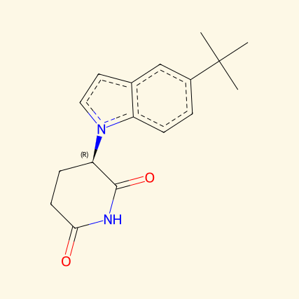 CC(C)(C)c1ccc2c(ccn2[C@@H]2CCC(=O)NC2=O)c1